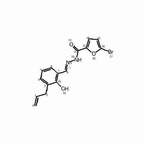 C=CCc1cccc(/C=N/NC(=O)c2ccc(Br)o2)c1O